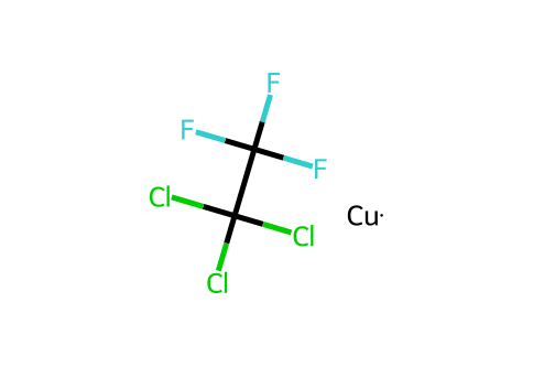 FC(F)(F)C(Cl)(Cl)Cl.[Cu]